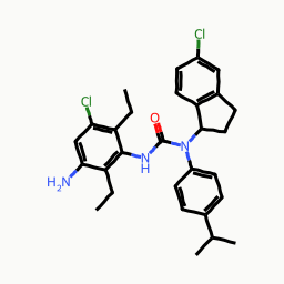 CCc1c(N)cc(Cl)c(CC)c1NC(=O)N(c1ccc(C(C)C)cc1)C1CCc2cc(Cl)ccc21